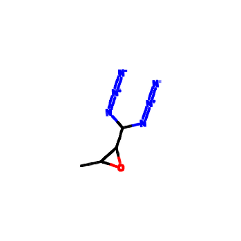 CC1OC1C(N=[N+]=[N-])N=[N+]=[N-]